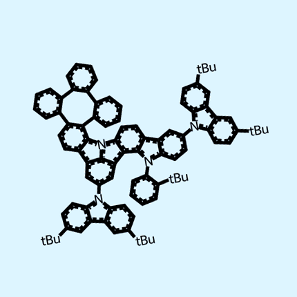 CC(C)(C)c1ccc2c(c1)c1cc(C(C)(C)C)ccc1n2-c1ccc2c(c1)c1ccc3c(c4cc(-n5c6ccc(C(C)(C)C)cc6c6cc(C(C)(C)C)ccc65)cc5c6ccc7c(c6n3c54)-c3ccccc3-c3ccccc3-c3ccccc3-7)c1n2-c1ccccc1C(C)(C)C